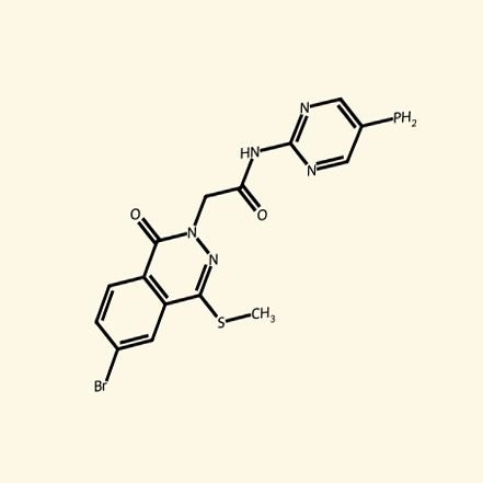 CSc1nn(CC(=O)Nc2ncc(P)cn2)c(=O)c2ccc(Br)cc12